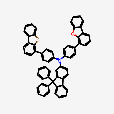 c1ccc(C2(c3ccccc3)c3ccccc3-c3ccc(N(c4ccc(-c5cccc6c5oc5ccccc56)cc4)c4ccc(-c5cccc6c5sc5ccccc56)cc4)cc32)cc1